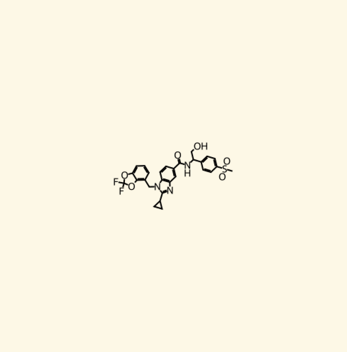 CS(=O)(=O)c1ccc(C(CO)NC(=O)c2ccc3c(c2)nc(C2CC2)n3Cc2cccc3c2OC(F)(F)O3)cc1